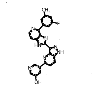 Cc1cc(F)cc(-c2nccc3[nH]c(-c4n[nH]c5ccc(-c6cncc(O)c6)nc45)nc23)c1